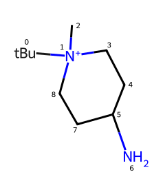 CC(C)(C)[N+]1(C)CCC(N)CC1